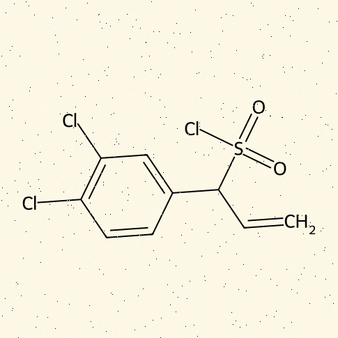 C=CC(c1ccc(Cl)c(Cl)c1)S(=O)(=O)Cl